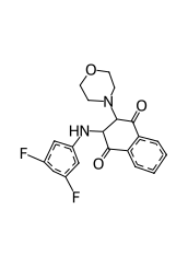 O=C1c2ccccc2C(=O)C(N2CCOCC2)C1Nc1cc(F)cc(F)c1